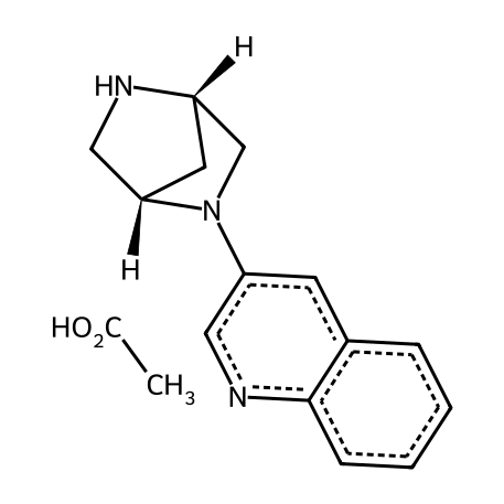 CC(=O)O.c1ccc2ncc(N3C[C@@H]4C[C@H]3CN4)cc2c1